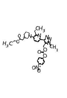 CCOC(=O)C[C@H]1CCCN(c2ccc(-c3nnn(C)c3COC(=O)Oc3ccc([N+](=O)[O-])cc3)nc2CC)C1